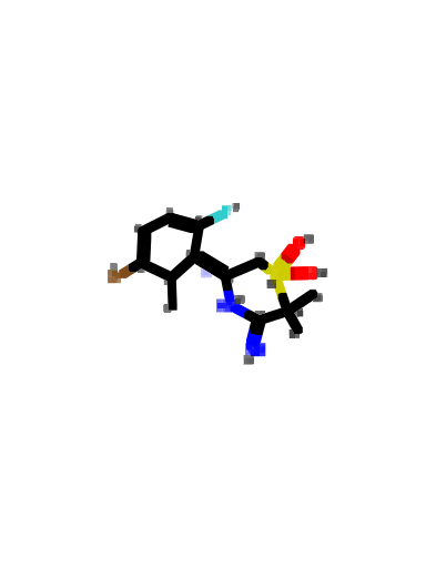 CC1C(Br)=CC=C(F)/C1=C1\CS(=O)(=O)C(C)(C)C(=N)N1